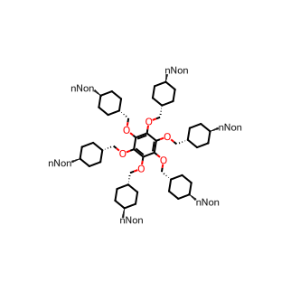 CCCCCCCCC[C@H]1CC[C@H](COc2c(OC[C@H]3CC[C@H](CCCCCCCCC)CC3)c(OC[C@H]3CC[C@H](CCCCCCCCC)CC3)c(OC[C@H]3CC[C@H](CCCCCCCCC)CC3)c(OC[C@H]3CC[C@H](CCCCCCCCC)CC3)c2OC[C@H]2CC[C@H](CCCCCCCCC)CC2)CC1